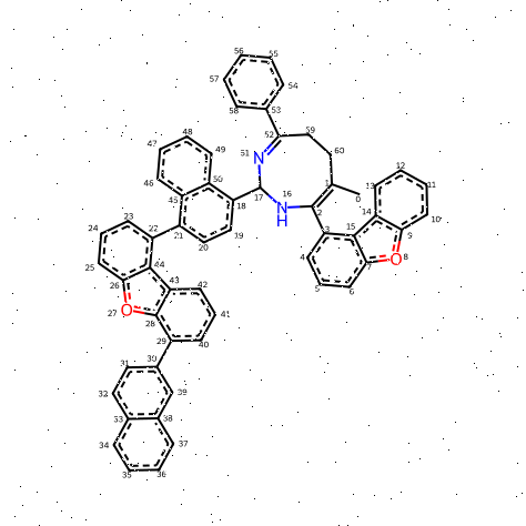 C/C1=C(\c2cccc3oc4ccccc4c23)NC(c2ccc(-c3cccc4oc5c(-c6ccc7ccccc7c6)cccc5c34)c3ccccc23)/N=C(/c2ccccc2)CC1